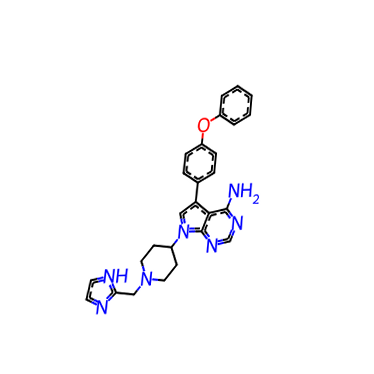 Nc1ncnc2c1c(-c1ccc(Oc3ccccc3)cc1)cn2C1CCN(Cc2ncc[nH]2)CC1